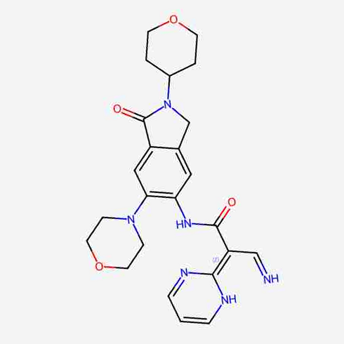 N=C/C(C(=O)Nc1cc2c(cc1N1CCOCC1)C(=O)N(C1CCOCC1)C2)=C1/N=CC=CN1